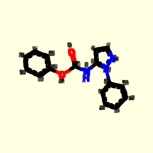 O=C(Nc1ccnn1-c1ccccc1)Oc1ccccc1